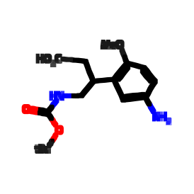 COc1ccc(N)cc1C(CNC(=O)OC(C)(C)C)CC(=O)O